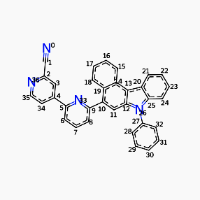 N#Cc1cc(-c2cccc(-c3cc4c(c5ccccc35)c3ccccc3n4-c3ccccc3)n2)ccn1